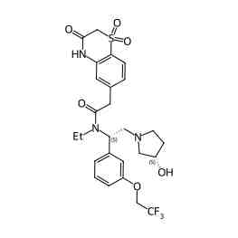 CCN(C(=O)Cc1ccc2c(c1)NC(=O)CS2(=O)=O)[C@H](CN1CC[C@H](O)C1)c1cccc(OCC(F)(F)F)c1